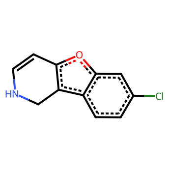 Clc1ccc2c3c(oc2c1)C=CNC3